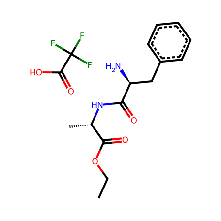 CCOC(=O)[C@H](C)NC(=O)[C@@H](N)Cc1ccccc1.O=C(O)C(F)(F)F